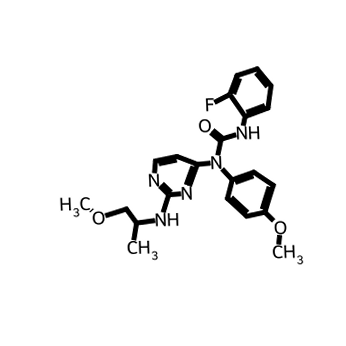 COCC(C)Nc1nccc(N(C(=O)Nc2ccccc2F)c2ccc(OC)cc2)n1